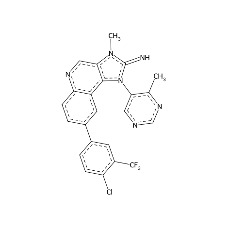 Cc1ncncc1-n1c(=N)n(C)c2cnc3ccc(-c4ccc(Cl)c(C(F)(F)F)c4)cc3c21